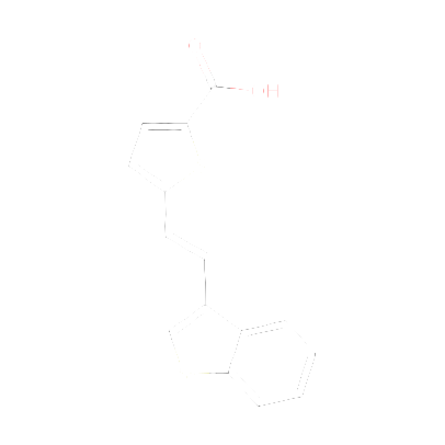 O=C(O)c1ccc(C=Cc2csc3ccccc23)s1